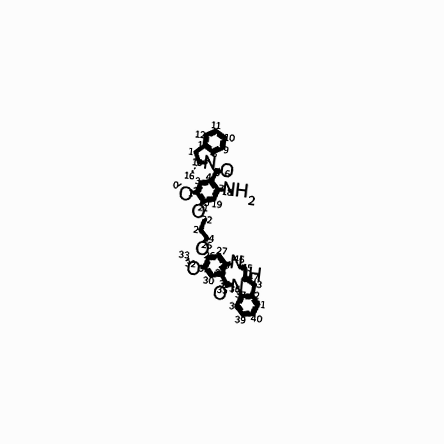 COc1cc(C(=O)N2c3ccccc3C[C@H]2C)c(N)cc1OCCCOc1cc2c(cc1OC)C(=O)N1c3ccccc3C[C@H]1C=N2